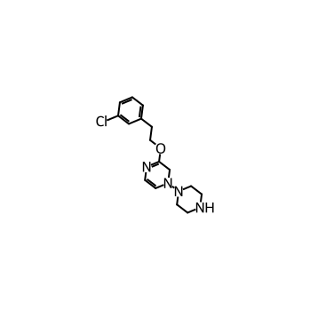 Clc1cccc(CCOC2=NC=CN(N3CCNCC3)C2)c1